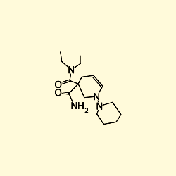 CCN(CC)C(=O)C1(C(N)=O)CC=CN(N2CCCCC2)C1